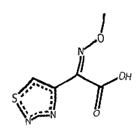 CON=C(C(=O)O)c1csnn1